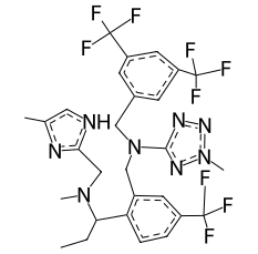 CCC(c1ccc(C(F)(F)F)cc1CN(Cc1cc(C(F)(F)F)cc(C(F)(F)F)c1)c1nnn(C)n1)N(C)Cc1nc(C)c[nH]1